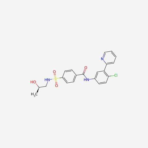 C[C@@H](O)CNS(=O)(=O)c1ccc(C(=O)Nc2ccc(Cl)c(-c3ccccn3)c2)cc1